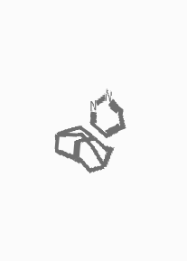 C1C2CC3CC1CC(C2)C3.c1ccnnc1